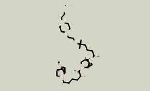 C[C@H]([C@@H](C)CC[C@H](C)[C@@H](C)N1C[C@@H]2C[C@H]1CN2C(C)(C)C)N1C[C@H]2C[C@@H]1CN2[C@H](C)[C@@H](C)CCC(C)(C)OCCN1CCN(CCOC(C)(C)C)CC1